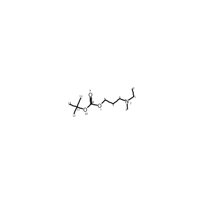 CCN(C)CCCOC(=O)OC(C)(C)C